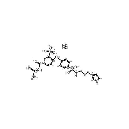 CS(=O)(=O)c1cc(C(=O)NC(=N)N)ccc1Oc1ccc(S(=O)(=O)NCCCn2ccnc2)cc1.Cl.Cl